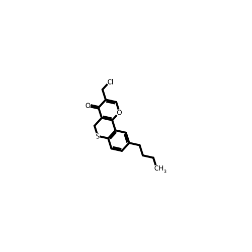 CCCCc1ccc2c(c1)-c1occ(CCl)c(=O)c1CS2